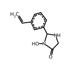 C=Cc1cccc(C2NCC(=O)N2O)c1